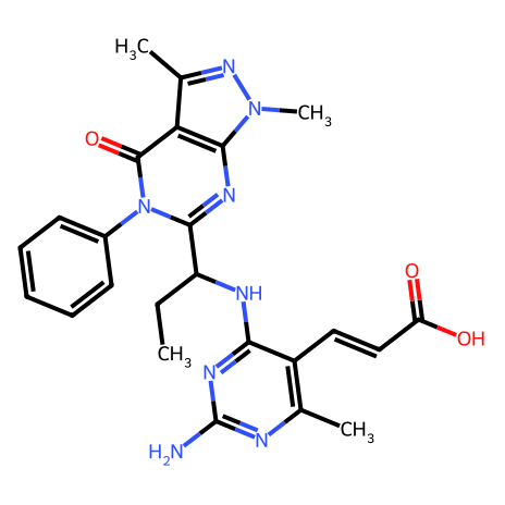 CCC(Nc1nc(N)nc(C)c1C=CC(=O)O)c1nc2c(c(C)nn2C)c(=O)n1-c1ccccc1